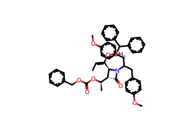 CC=C(O[SiH2]C(c1ccccc1)c1ccccc1)[C@@H]1[C@@H]([C@@H](C)OC(=O)OCc2ccccc2)C(=O)N1C(Cc1ccc(OC)cc1)Cc1ccc(OC)cc1